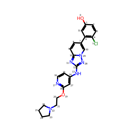 Oc1ccc(Cl)c(-c2ccc3nc(Nc4ccnc(OCCN5CCCC5)c4)nn3c2)c1